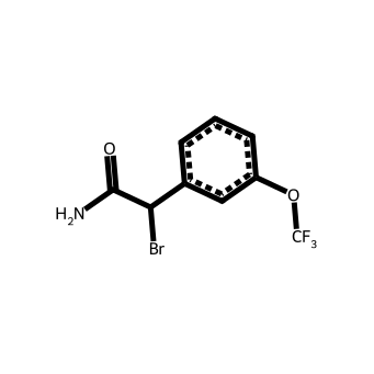 NC(=O)C(Br)c1cccc(OC(F)(F)F)c1